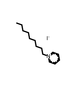 CCCCCCCCC[n+]1ccccc1.[I-]